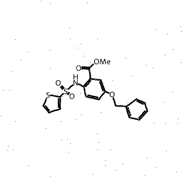 COC(=O)c1cc(OCc2ccccc2)ccc1NS(=O)(=O)c1cccs1